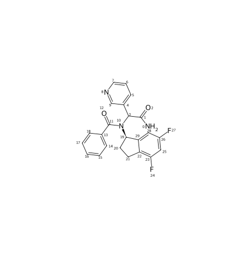 NC(=O)C(c1cccnc1)N(C(=O)c1ccccc1)[C@@H]1CCc2c(F)cc(F)cc21